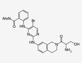 CNC(=O)c1ccccc1Nc1nc(Nc2ccc3c(c2)CN(C(=O)C(N)CO)CC3)ncc1Br